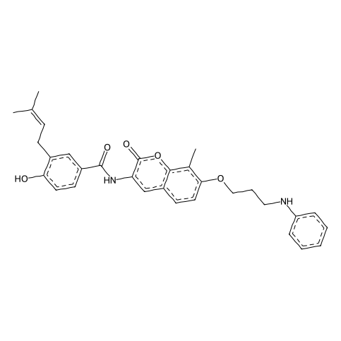 CC(C)=CCc1cc(C(=O)Nc2cc3ccc(OCCCNc4ccccc4)c(C)c3oc2=O)ccc1O